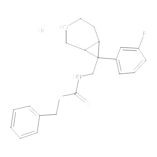 Cl.O=C(NCC1(c2cccc(F)c2)C2CCNCC21)OCc1ccccc1